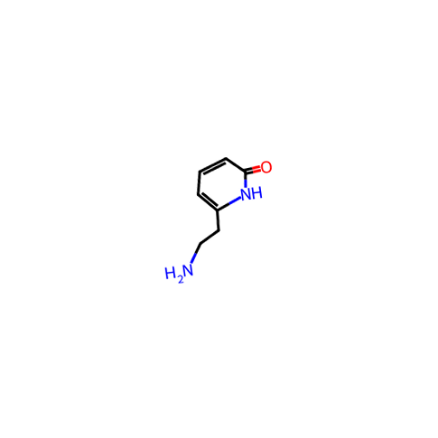 NCCc1cccc(=O)[nH]1